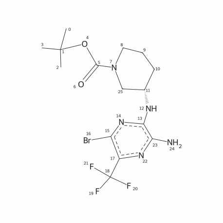 CC(C)(C)OC(=O)N1CCC[C@H](Nc2nc(Br)c(C(F)(F)F)nc2N)C1